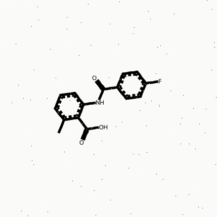 Cc1cccc(NC(=O)c2ccc(F)cc2)c1C(=O)O